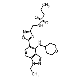 CCCS(=O)(=O)NCc1noc(-c2cnc3c(cnn3CC)c2NC2CCOCC2)n1